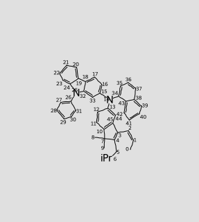 C/C=C\C1=C(CC(C)C)C(C)(C)c2ccc(N(c3ccc4c5ccccc5n(-c5ccccc5)c4c3)c3cccc4ccccc34)cc21